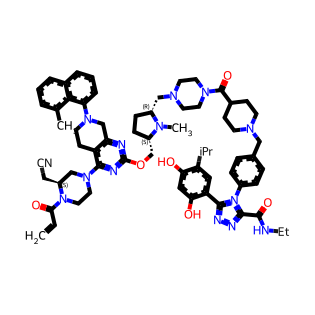 C=CC(=O)N1CCN(c2nc(OC[C@@H]3CC[C@H](CN4CCN(C(=O)C5CCN(Cc6ccc(-n7c(C(=O)NCC)nnc7-c7cc(C(C)C)c(O)cc7O)cc6)CC5)CC4)N3C)nc3c2CCN(c2cccc4cccc(C)c24)C3)C[C@@H]1CC#N